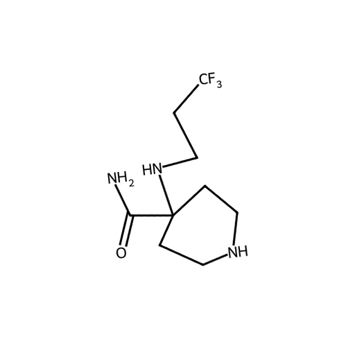 NC(=O)C1(NCCC(F)(F)F)CCNCC1